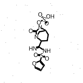 N=C(NS(=O)(=O)c1ccco1)C1CCC2CN1C(=O)N2OS(=O)(=O)O